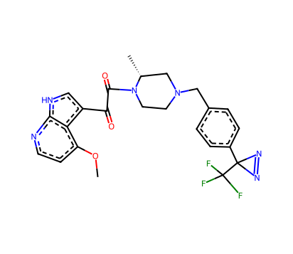 COc1ccnc2[nH]cc(C(=O)C(=O)N3CCN(Cc4ccc(C5(C(F)(F)F)N=N5)cc4)C[C@H]3C)c12